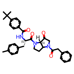 Cc1ccc(C[C@H](NC(=O)c2ccc(C(C)(C)C)cc2)C(=O)N2CCC3[C@H]2C(=O)CN3C(=O)Cc2ccccc2)cc1